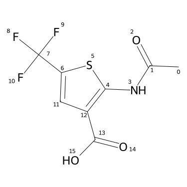 CC(=O)Nc1sc(C(F)(F)F)cc1C(=O)O